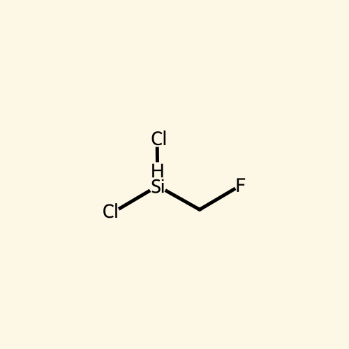 FC[SiH](Cl)Cl